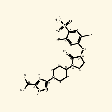 CS(=O)(=O)c1cc(F)c(O[C@H]2CCN(C3CCN(c4noc(C(F)F)n4)CC3)C2=O)cc1F